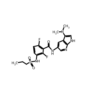 CCCS(=O)(=O)Nc1ccc(F)c(C(=O)Nc2cnc3[nH]cc(N(C)C)c3c2)c1F